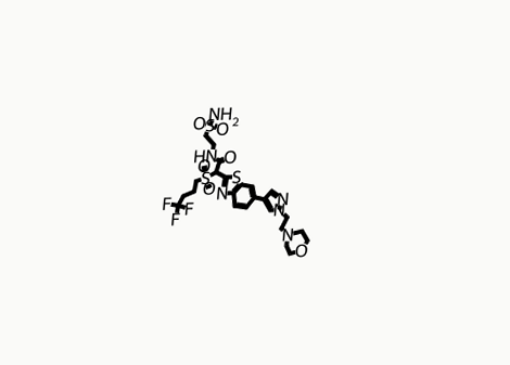 NS(=O)(=O)CCNC(=O)C(c1nc2ccc(-c3cnn(CCN4CCOCC4)c3)cc2s1)S(=O)(=O)CCCC(F)(F)F